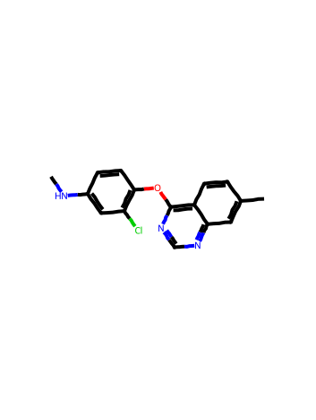 CNc1ccc(Oc2ncnc3cc(C)ccc23)c(Cl)c1